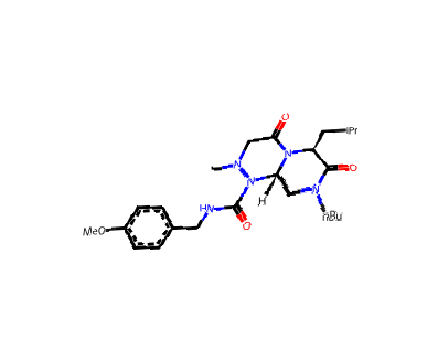 CCCCN1C[C@H]2N(C(=O)CN(C)N2C(=O)NCc2ccc(OC)cc2)[C@@H](CC(C)C)C1=O